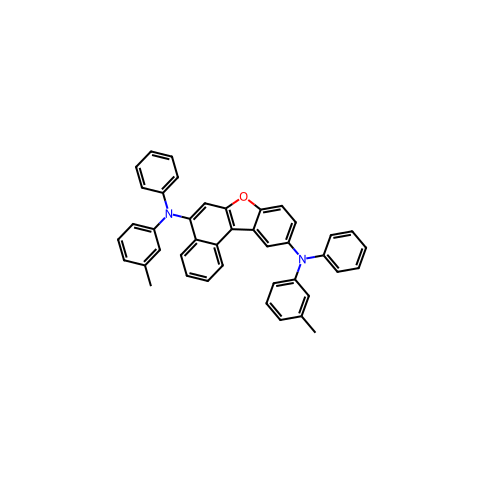 Cc1cccc(N(c2ccccc2)c2ccc3oc4cc(N(c5ccccc5)c5cccc(C)c5)c5ccccc5c4c3c2)c1